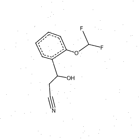 N#CCC(O)c1ccccc1OC(F)F